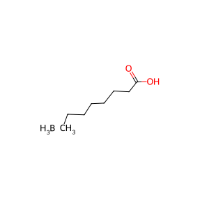 B.CCCCCCCC(=O)O